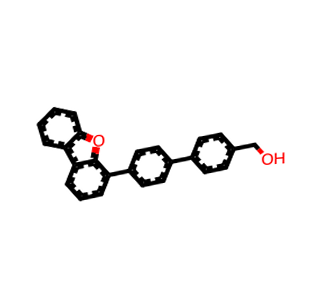 OCc1ccc(-c2ccc(-c3cccc4c3oc3ccccc34)cc2)cc1